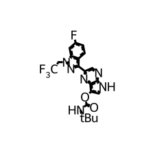 CC(C)(C)NC(=O)Oc1c[nH]c2ncc(-c3nn(CC(F)(F)F)c4cc(F)ccc34)nc12